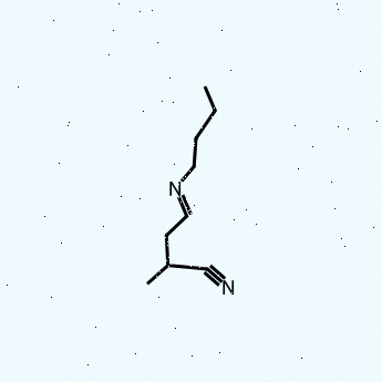 CCCCN=CCC(C)C#N